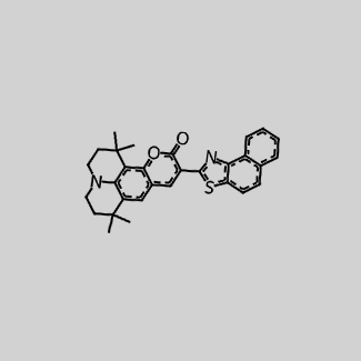 CC1(C)CCN2CCC(C)(C)c3c2c1cc1cc(-c2nc4c(ccc5ccccc54)s2)c(=O)oc31